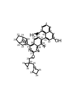 C#Cc1cccc2cc(O)cc(-c3c(F)cc4c(N5CC6CCC(C5)N6)nc(OCC5(CN6CCC6)CC5)nc4c3F)c12